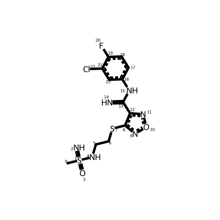 CS(=N)(=O)NCCSc1nonc1C(=N)Nc1ccc(F)c(Cl)c1